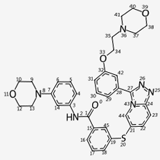 O=C(Nc1cccc(N2CCOCC2)c1)c1cccc(Sc2ccc3nnc(-c4cccc(OCCN5CCOCC5)c4)n3c2)c1